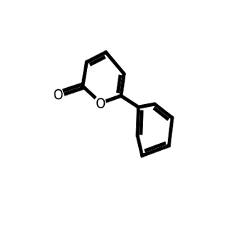 O=c1cccc(-c2ccccc2)o1